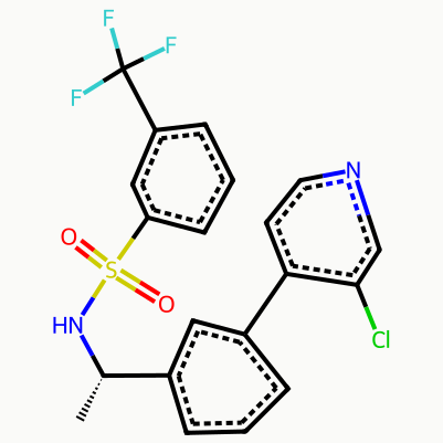 C[C@H](NS(=O)(=O)c1cccc(C(F)(F)F)c1)c1cccc(-c2ccncc2Cl)c1